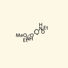 CCNC(COc1ccc(NC(=O)CC)cc1)OC